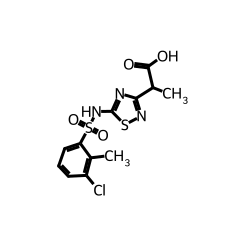 Cc1c(Cl)cccc1S(=O)(=O)Nc1nc(C(C)C(=O)O)ns1